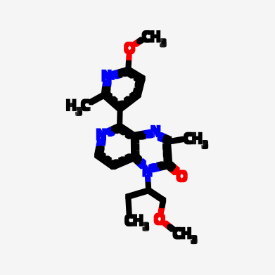 CCC(COC)n1c(=O)c(C)nc2c(-c3ccc(OC)nc3C)nccc21